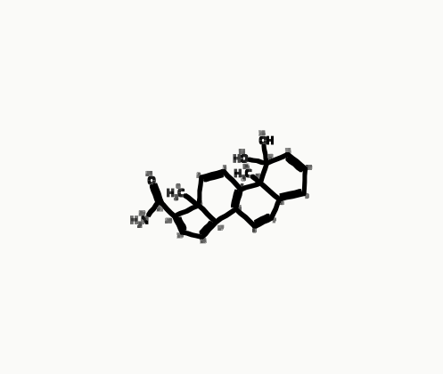 CC12C=CC3=C(C=CC4=CC=CC(O)(O)C43C)C1=CC=C2C(N)=O